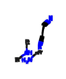 CCCN.CCNCC.N#CC#N